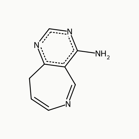 Nc1ncnc2c1C=NC=CC2